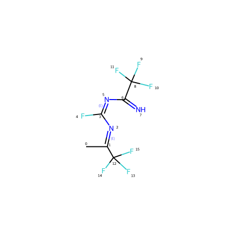 C/C(=N\C(F)=N/C(=N)C(F)(F)F)C(F)(F)F